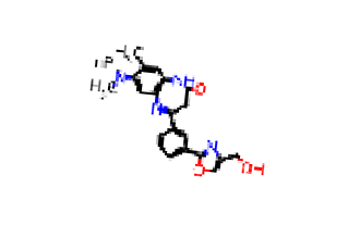 CCCN(C)c1cc2c(cc1C)NC(=O)CC(c1cccc(-c3nc(CO)co3)c1)=N2